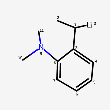 [Li][CH](C)c1ccccc1N(C)C